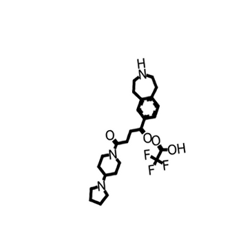 O=C(CCC(=O)N1CCC(N2CCCC2)CC1)c1ccc2c(c1)CCNCC2.O=C(O)C(F)(F)F